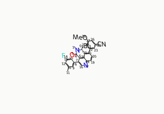 CCC(C)CN(C)C(=O)c1c(-c2cc(C)cc(F)c2)cnc2ccc(-c3cc(C#N)cc(OC)c3)cc12